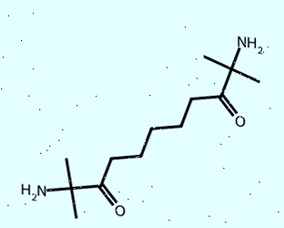 CC(C)(N)C(=O)CCCCCC(=O)C(C)(C)N